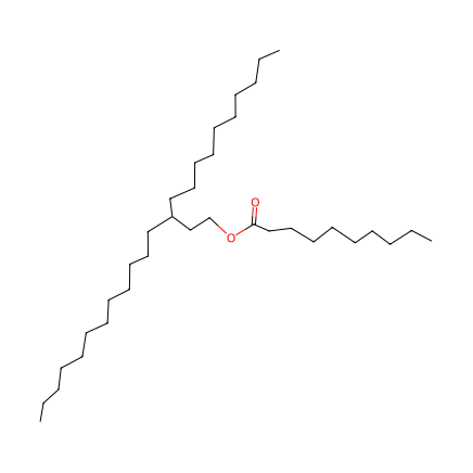 CCCCCCCCCCCCC(CCCCCCCCCC)CCOC(=O)CCCCCCCCC